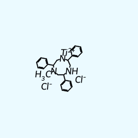 CN1CC(c2ccccc2)NCC(c2ccccc2)[N]([Ti+2])CC1c1ccccc1.[Cl-].[Cl-]